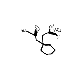 Cl.O=C(O)CC1(CC(=O)O)CCCCC1